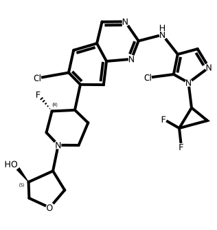 O[C@@H]1COCC1N1CCC(c2cc3nc(Nc4cnn(C5CC5(F)F)c4Cl)ncc3cc2Cl)[C@@H](F)C1